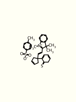 C[N+]1=C(C=CC2(C3=CC=CCC3=S)CC=CC2)C(C)(C)c2ccccc21.Cc1ccc(S(=O)(=O)[O-])cc1